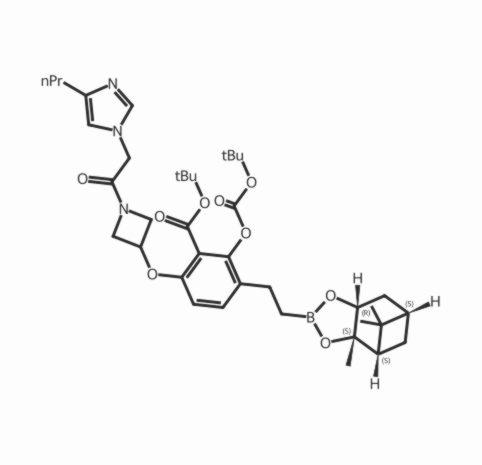 CCCc1cn(CC(=O)N2CC(Oc3ccc(CCB4O[C@@H]5C[C@@H]6C[C@@H](C6(C)C)[C@]5(C)O4)c(OC(=O)OC(C)(C)C)c3C(=O)OC(C)(C)C)C2)cn1